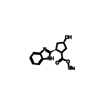 CC(C)(C)OC(=O)C1C[C@H](O)C[C@H]1c1nc2ccccc2[nH]1